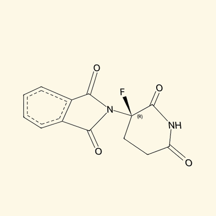 O=C1CC[C@](F)(N2C(=O)c3ccccc3C2=O)C(=O)N1